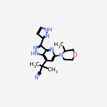 CC1COCCN1c1cc(C(C)(C)C#N)c2[nH]nc(-c3cc[nH]n3)c2n1